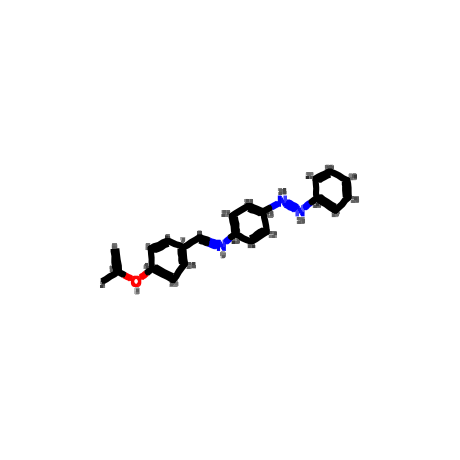 C=C(C)Oc1ccc(C=Nc2ccc(N=Nc3ccccc3)cc2)cc1